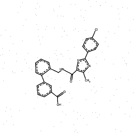 Cc1nc(-c2ccc(Cl)cc2)sc1C(=O)NCc1ccccc1-c1cccc(C(=O)O)c1